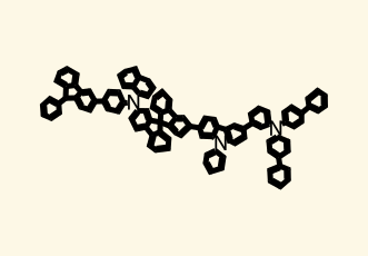 c1ccc(-c2ccc(N(c3ccc(-c4ccccc4)cc3)c3cccc(-c4ccc5c(c4)c4ccc(-c6ccc7c(c6)-c6ccccc6C76c7ccccc7-c7ccc(N(c8ccc(-c9ccc%10c(c9)-c9ccccc9C%10c9ccccc9)cc8)c8cccc9ccccc89)cc76)cc4n5-c4ccccc4)c3)cc2)cc1